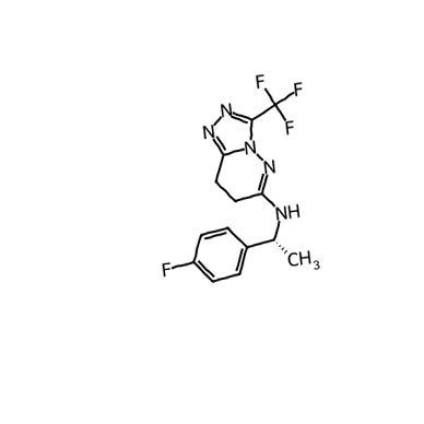 C[C@@H](NC1=Nn2c(nnc2C(F)(F)F)CC1)c1ccc(F)cc1